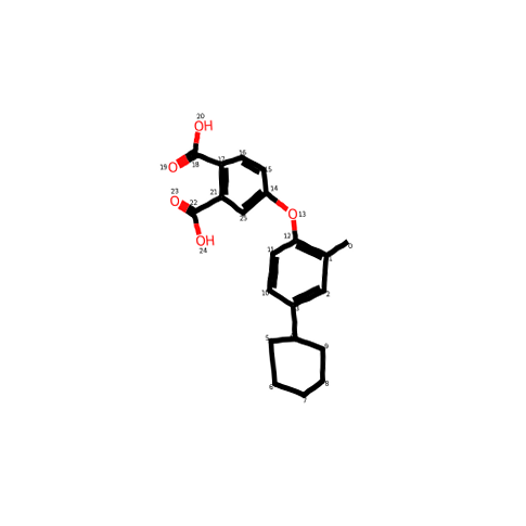 Cc1cc(C2CCCCC2)ccc1Oc1ccc(C(=O)O)c(C(=O)O)c1